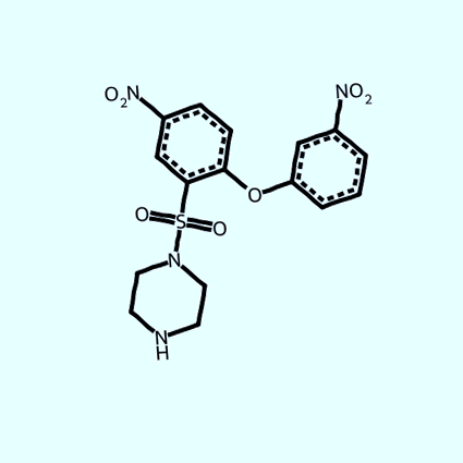 O=[N+]([O-])c1cccc(Oc2ccc([N+](=O)[O-])cc2S(=O)(=O)N2CCNCC2)c1